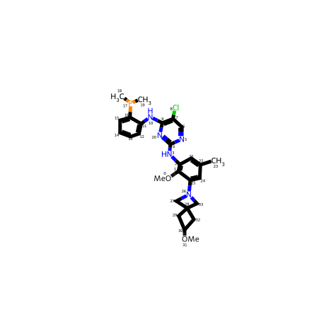 COc1c(Nc2ncc(Cl)c(Nc3ccccc3P(C)C)n2)cc(C)cc1N1CC2(CC(OC)C2)C1